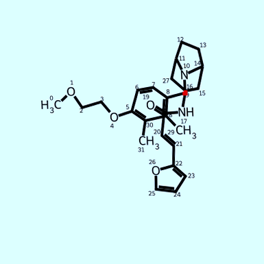 COCCOc1ccc(CN2C3CCC2CC(NC(=O)/C=C/c2ccco2)C3)c(C)c1C